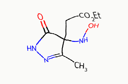 CCOC(=O)CC1(NO)C(=O)NN=C1C